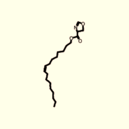 CCCCCCCC/C=C\CCCCCCCOC(=O)C1COC=N1